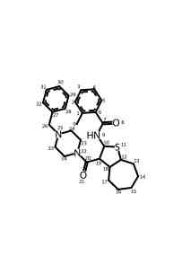 Cc1ccccc1C(=O)NC1SC2CCCCCC2C1C(=O)N1CCN(Cc2ccccc2)CC1